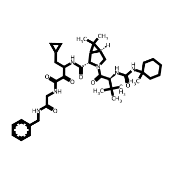 CC1(NC(=O)N[C@H](C(=O)N2C[C@H]3C([C@H]2C(=O)NC(CC2CC2)C(=O)C(=O)NCC(=O)NCc2ccccc2)C3(C)C)C(C)(C)C)CCCCC1